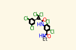 CCNC(=O)c1cc(NC(=O)[C@@H]2[C@@H](c3cc(Cl)cc(Cl)c3)C2(Cl)Cl)c(Cl)cc1Cl